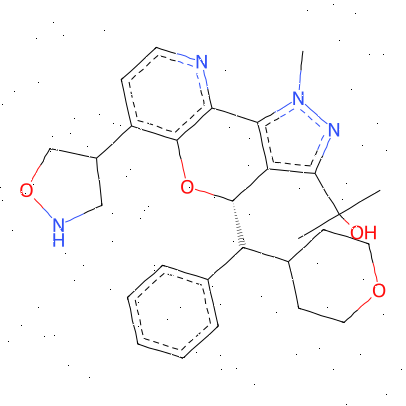 Cn1nc(C(C)(C)O)c2c1-c1nccc(C3CNOC3)c1O[C@H]2C(c1ccccc1)C1CCOCC1